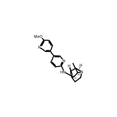 COc1ccc(-c2ccc(N[C@H]3C4CCN(CC4)[C@@H]3C)nc2)cn1